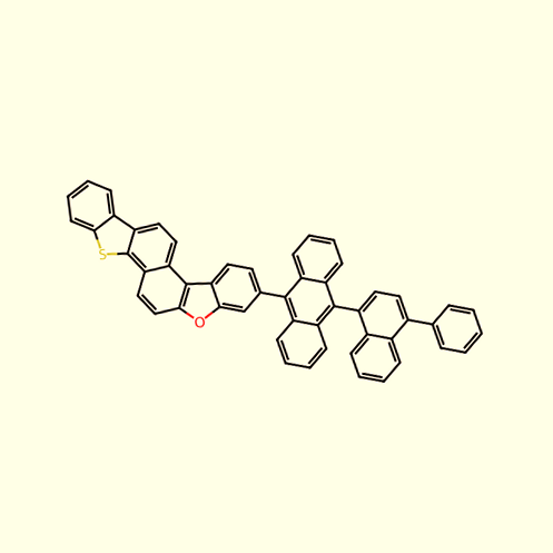 c1ccc(-c2ccc(-c3c4ccccc4c(-c4ccc5c(c4)oc4ccc6c(ccc7c8ccccc8sc76)c45)c4ccccc34)c3ccccc23)cc1